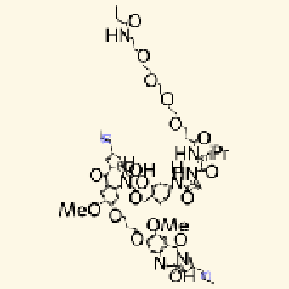 C/C=C/C1=CC2C(=O)c3cc(OC)c(OCCCOc4cc5c(cc4OC)C(=O)N4C=C(/C=C/C)C[C@@]4(O)C=N5)cc3N(C(=O)OCc3ccc(NC(=O)[C@H](C)NC(=O)[C@@H](NC(=O)CCOCCOCCOCCOCCNC(=O)CI)C(C)C)cc3)[C@@H](O)[C@@H]2C1